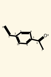 C=Cc1ccc(C(C)=O)cc1